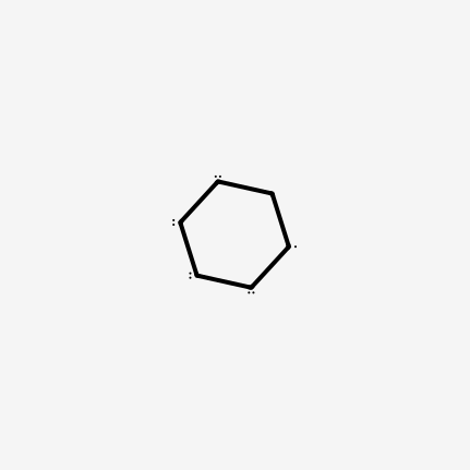 [C]1[C][C]C[CH][C]1